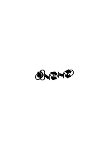 CS(=O)(=O)OCCN1CCN(CCN2CCOCC2)CC1